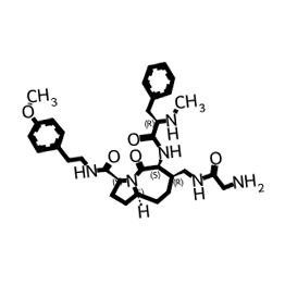 CN[C@H](Cc1ccccc1)C(=O)N[C@@H]1C(=O)N2[C@@H](CC[C@@H]1CNC(=O)CN)CC[C@H]2C(=O)NCCc1ccc(OC)cc1